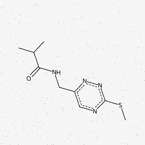 CSc1ncc(CNC(=O)C(C)C)nn1